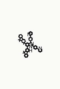 CC1(c2cc3c(c(-c4ccc5c(c4)C(C)(C)c4ccccc4-5)c2)NC(c2ccc(-c4ccccn4)cc2)N=C3C2C=CC(c3ccccn3)=CC2)CC=C2C3=C(C=CCC3)C(C)(C)C2C1